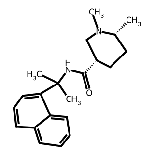 C[C@@H]1CC[C@H](C(=O)NC(C)(C)c2cccc3ccccc23)CN1C